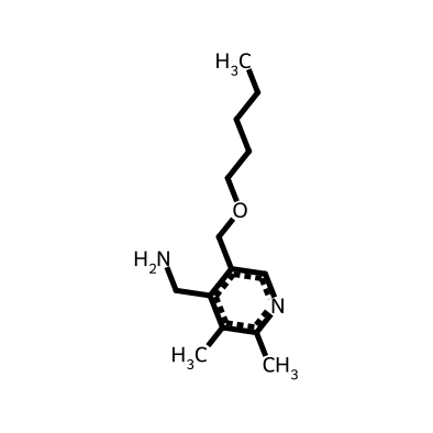 CCCCCOCc1cnc(C)c(C)c1CN